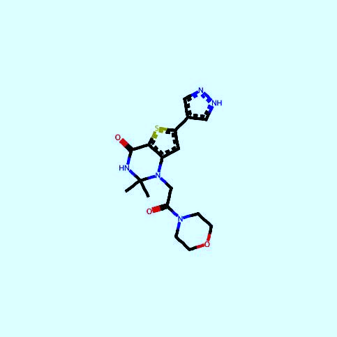 CC1(C)NC(=O)c2sc(-c3cn[nH]c3)cc2N1CC(=O)N1CCOCC1